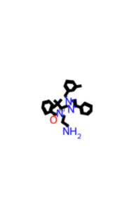 Cc1cccc(Cn2cc(-c3ccccc3)nc2[C@H](N(CCCN)C(=O)c2ccccc2)C(C)(C)C)c1